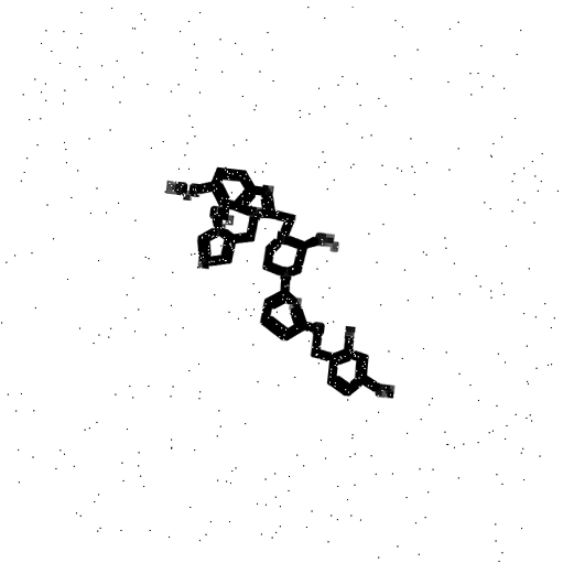 C[C@H]1CN(c2cccc(OCc3ccc(C#N)cc3F)n2)CCN1Cc1nc2ccc(C(=O)O)cc2n1Cc1cncn1C